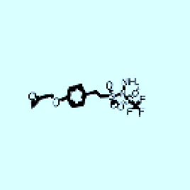 NN(S(=O)(=O)CCc1ccc(OCC2CO2)cc1)S(=O)(=O)C(F)(F)F